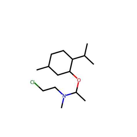 CC1CCC(C(C)C)C(OC(C)N(C)CCCl)C1